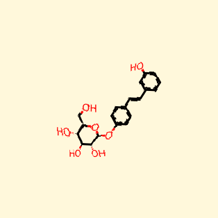 OC[C@H]1O[C@@H](Oc2ccc(/C=C/c3cccc(O)c3)cc2)[C@H](O)[C@@H](O)[C@@H]1O